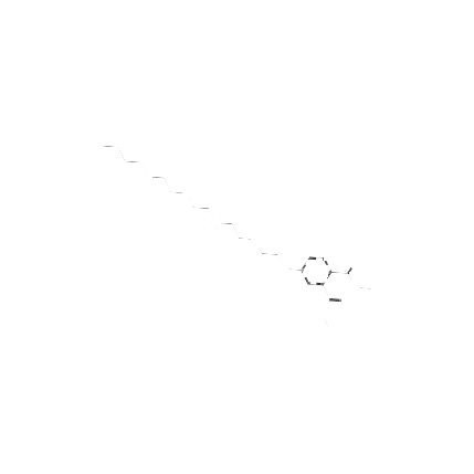 CCCCOCCOCCOCCOCCOc1ccc(C(=O)OC)c(C(=O)OC)c1